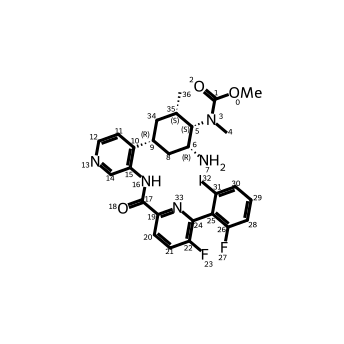 COC(=O)N(C)[C@@H]1[C@H](N)C[C@H](c2ccncc2NC(=O)c2ccc(F)c(-c3c(F)cccc3I)n2)C[C@@H]1C